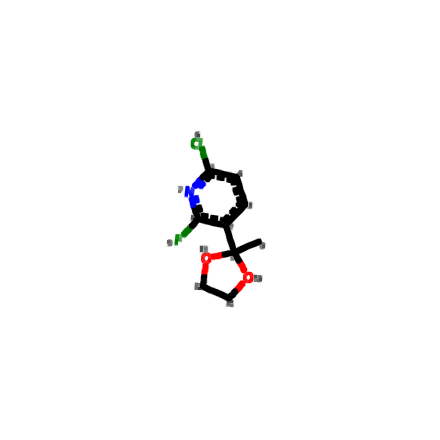 CC1(c2ccc(Cl)nc2F)OCCO1